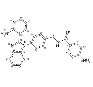 Nc1ccc(C(=O)NCc2ccc(-n3c(-c4cccnc4N)nc4cccnc43)cc2)cc1